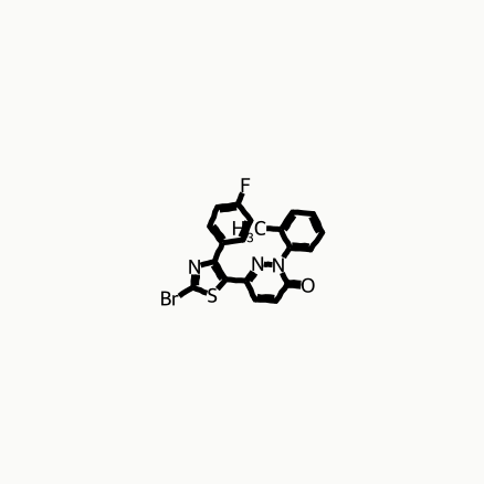 Cc1ccccc1-n1nc(-c2sc(Br)nc2-c2ccc(F)cc2)ccc1=O